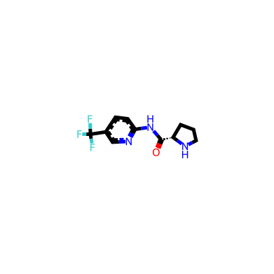 O=C(Nc1ccc(C(F)(F)F)cn1)[C@@H]1CCCN1